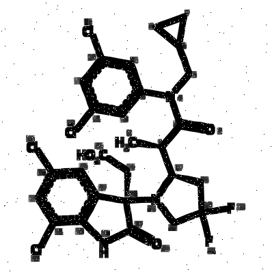 C[C@@H](C(=O)N(CC1CC1)c1cc(Cl)cc(Cl)c1)[C@H]1CC(F)(F)CN1[C@@]1(CC(=O)O)C(=O)Nc2c(Cl)cc(Cl)cc21